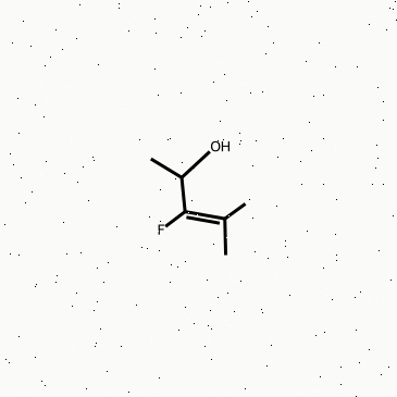 CC(C)=C(F)C(C)O